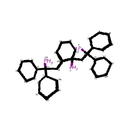 PC1(CC(P)(C2CCCCC2)C2CCCCC2)CCCCC1CC(P)(C1CCCCC1)C1CCCCC1